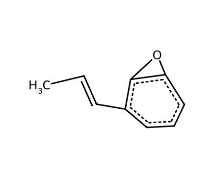 CC=Cc1cccc2c1O2